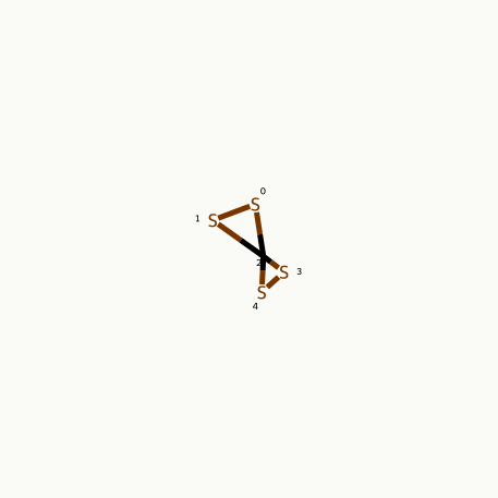 S1SC12SS2